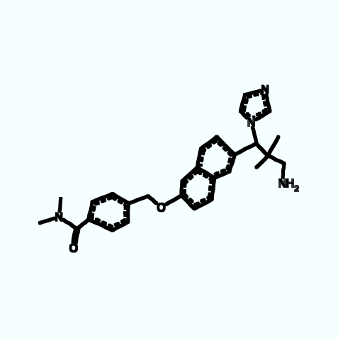 CN(C)C(=O)c1ccc(COc2ccc3cc(C(n4ccnc4)C(C)(C)CN)ccc3c2)cc1